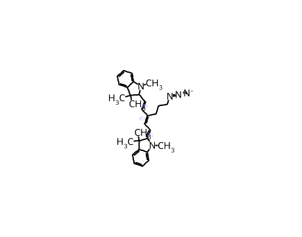 CN1/C(=C/C=C(/C=C/C2N(C)c3ccccc3C2(C)C)CCCN=[N+]=[N-])C(C)(C)c2ccccc21